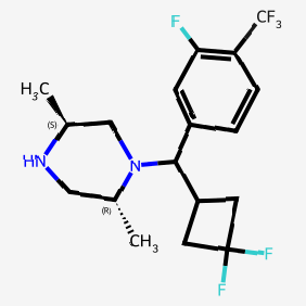 C[C@@H]1CN[C@@H](C)CN1C(c1ccc(C(F)(F)F)c(F)c1)C1CC(F)(F)C1